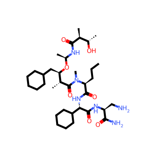 CCC[C@@H](C(=O)N[C@H](C(=O)N[C@@H](CN)C(N)=O)C1CCCCC1)N(C)C(=O)[C@H](C)[C@@H](CC1CCCCC1)O[C@@H](C)NC(=O)[C@@H](C)[C@H](C)O